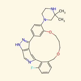 CC1(C)CN(c2ccc3cc2OCCCOCc2cccc(F)c2-c2cc4c-3n[nH]c4cn2)CCN1